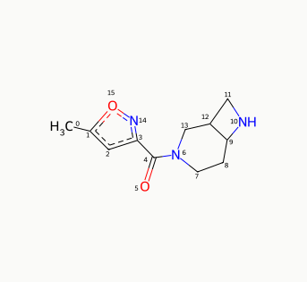 Cc1cc(C(=O)N2CCC3NCC3C2)no1